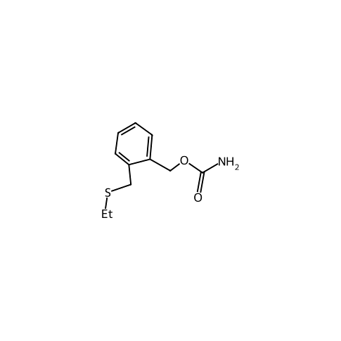 CCSCc1ccccc1COC(N)=O